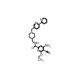 CCOc1nc(C(=O)NCC2CCN(Cc3ccc(-c4ccccn4)nc3)CC2)cc(N)c1C#N